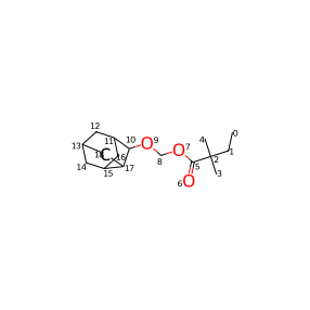 CCC(C)(C)C(=O)OCOC1C2CC3CC(C2)C1C3